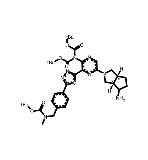 CN(Cc1ccc(-c2nnc(-c3nc(N4C[C@@H]5CCC(N)[C@@H]5C4)cnc3N(C(=O)OC(C)(C)C)C(=O)OC(C)(C)C)o2)cc1)C(=O)OC(C)(C)C